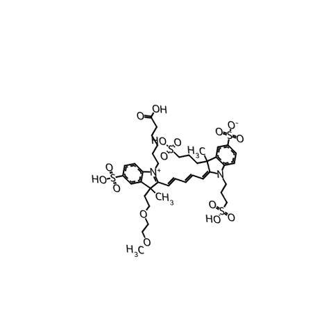 COCCOCCC1(C)C(/C=C/C=C/C=C2/N(CCCS(=O)(=O)O)c3ccc(S(=O)(=O)[O-])cc3C2(C)CCCS(=O)(=O)O)=[N+](CCCCCC(=O)O)c2ccc(S(=O)(=O)O)cc21